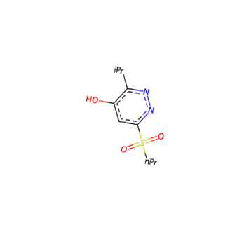 CCCS(=O)(=O)c1cc(O)c(C(C)C)nn1